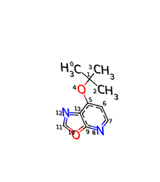 CC(C)(C)Oc1ccnc2ocnc12